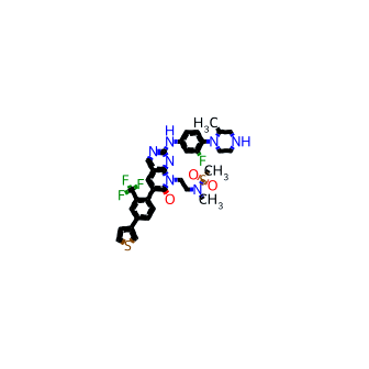 CC1CNCCN1c1ccc(Nc2ncc3cc(-c4ccc(-c5ccsc5)cc4C(F)(F)F)c(=O)n(CCN(C)S(C)(=O)=O)c3n2)cc1F